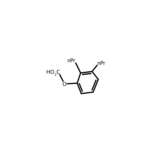 CCCc1cccc(OC(=O)O)c1CCC